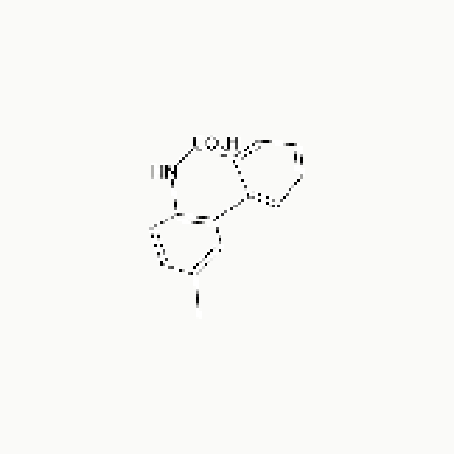 Cc1ccc(NC(=O)O)c(-c2ccccc2)c1